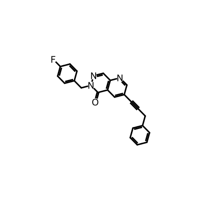 O=c1c2cc(C#CCc3ccccc3)cnc2cnn1Cc1ccc(F)cc1